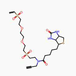 C#CCN(CCS(=O)(=O)CCOCCOCCS(=O)(=O)C=C)C(=O)CCCCC1SCC2NC(=O)NC21